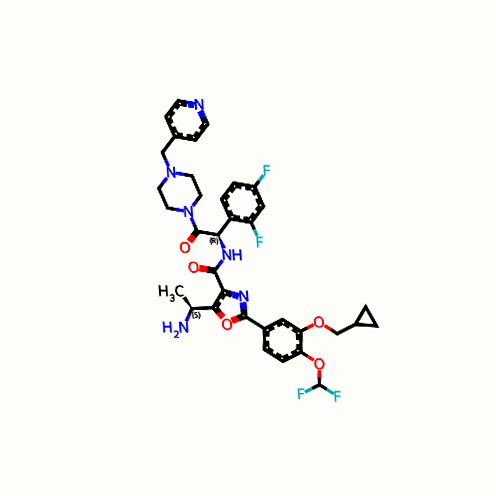 C[C@H](N)c1oc(-c2ccc(OC(F)F)c(OCC3CC3)c2)nc1C(=O)N[C@@H](C(=O)N1CCN(Cc2ccncc2)CC1)c1ccc(F)cc1F